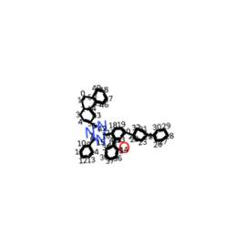 C1=CC2CC=C(c3nc(-c4ccccc4)nc(-c4ccc(-c5ccc(-c6ccccc6)cc5)c5oc6ccccc6c45)n3)C=C2c2ccccc21